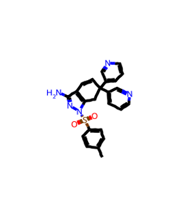 Cc1ccc(S(=O)(=O)n2nc(N)c3c2CC(c2cccnc2)(c2cccnc2)C=C3)cc1